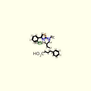 CC(=O)N[C@H](CC[C@@H](CCC(=O)O)c1ccccc1)CN(C(C)=O)c1nc(-c2ccccc2Cl)cs1